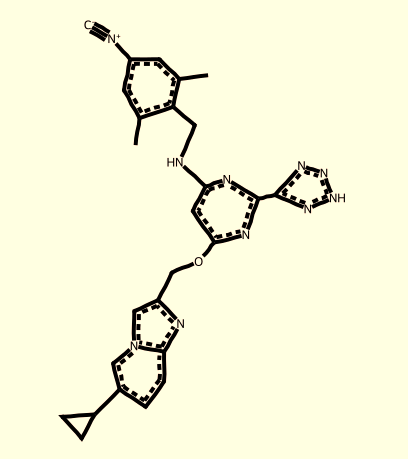 [C-]#[N+]c1cc(C)c(CNc2cc(OCc3cn4cc(C5CC5)ccc4n3)nc(-c3nn[nH]n3)n2)c(C)c1